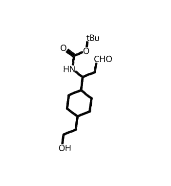 CC(C)(C)OC(=O)NC(CC=O)C1CCC(CCO)CC1